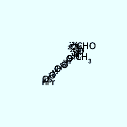 CCCOCCOCCOCCOCCOCCN(C)C(=O)c1ccccc1C=O